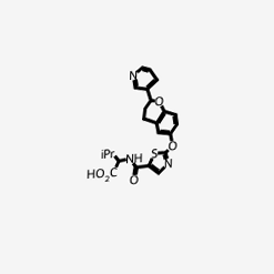 CC(C)C(NC(=O)c1cnc(Oc2ccc3c(c2)CCC(c2cccnc2)O3)s1)C(=O)O